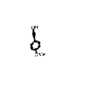 COc1ccc(C#CO)cc1